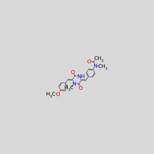 COc1ccc(/C=c2/c(=O)[nH]/c(=C\c3ccc(N(C)C(C)=O)cc3)c(=O)n2C)cc1